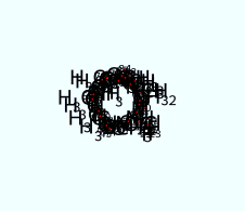 C=CC[C@]1(C)NC(=O)[C@@H]2CCCN2C(=O)[C@H](CCc2ccc(C(F)(F)F)c(Cl)c2)NC(=O)CN(C)C(=O)[C@H](CC2CCCCC2)N(C)C(=O)CN(C)C(=O)CN(C)C(=O)[C@H]([C@@H](C)CC)NC(=O)[C@H](CC(C)C)N(C)C(=O)C[C@@H](C(=O)N2CCCCC2)N(C)C(=O)[C@H](C(C)C)N(C)C1=O